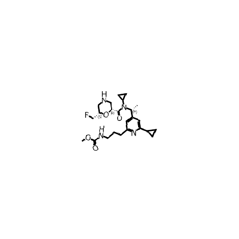 COC(=O)NCCCc1cc([C@@H](C)N(C(=O)[C@H]2CNC[C@@H](CF)O2)C2CC2)cc(C2CC2)n1